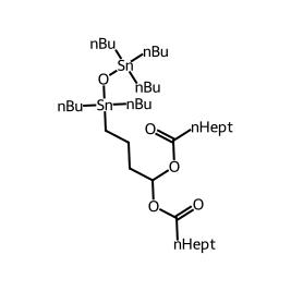 CCCCCCCC(=O)OC(CC[CH2][Sn]([CH2]CCC)([CH2]CCC)[O][Sn]([CH2]CCC)([CH2]CCC)[CH2]CCC)OC(=O)CCCCCCC